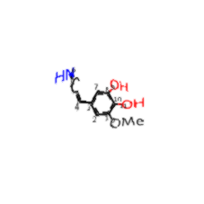 COc1cc(C=C=N)cc(O)c1O